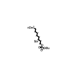 CCCCCCCCCCCCCCCCCCOP(=O)([O-])OCC(C)C.[Na+]